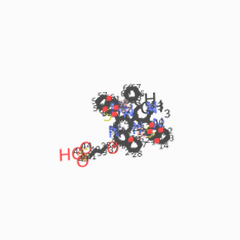 CC(C)c1c2/c(=C(\C#N)c3nc4ccccc4s3)n(B(c3ccccc3)c3ccccc3)c(-c3ccc(OCCCCS(=O)(=O)O)cc3)c2/c(=C(\C#N)c2nc3ccccc3s2)n1B(c1ccccc1)c1ccccc1